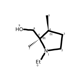 CCN1CC[C@H](C)[C@]1(C)CO